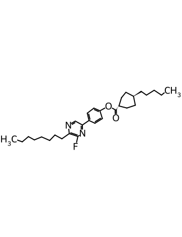 CCCCCCCCc1ncc(-c2ccc(OC(=O)[C@H]3CC[C@H](CCCCC)CC3)cc2)nc1F